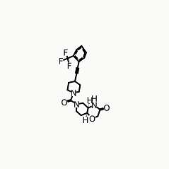 O=C1CO[C@H]2CCN(C(=O)N3CCC(C#Cc4ccccc4C(F)(F)F)CC3)C[C@H]2N1